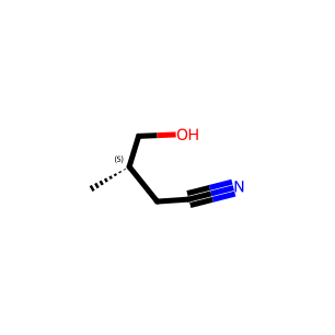 C[C@H](CO)CC#N